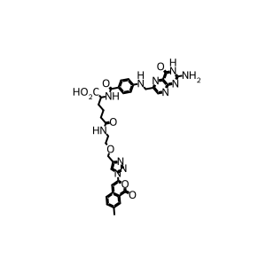 Cc1ccc2cc(-n3cc(COCCNC(=O)CCCC(NC(=O)c4ccc(NCc5cnc6nc(N)[nH]c(=O)c6n5)cc4)C(=O)O)nn3)oc(=O)c2c1